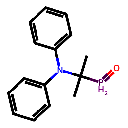 CC(C)([PH2]=O)N(c1ccccc1)c1ccccc1